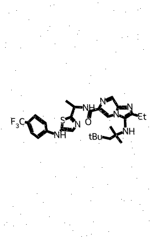 CCc1nc2cnc(C(=O)NC(C)c3ncc(Nc4ccc(C(F)(F)F)cc4)s3)cn2c1NC(C)(C)CC(C)(C)C